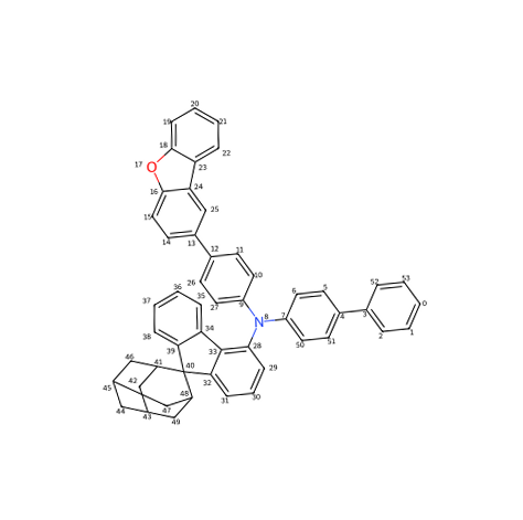 c1ccc(-c2ccc(N(c3ccc(-c4ccc5oc6ccccc6c5c4)cc3)c3cccc4c3-c3ccccc3C43C4CC5CC(C4)CC3C5)cc2)cc1